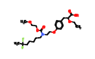 CCOC(Cc1ccc(OCCN(CCCCCC(C)(F)F)C(=O)OCCOC)cc1)C(=O)O